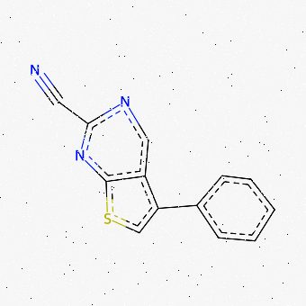 N#Cc1ncc2c(-c3ccccc3)csc2n1